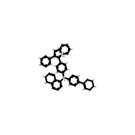 C1=Cc2c(cccc2N(c2ccc(C3=CCCCC3)cc2)c2ccc(-c3c(-c4ccccc4)cc4ccccn34)cc2)CC1